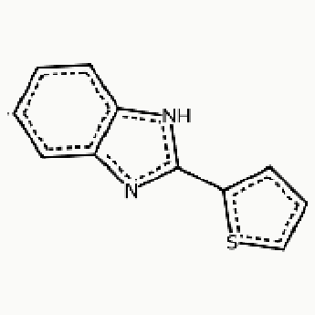 [c]1ccc2[nH]c(-c3cccs3)nc2c1